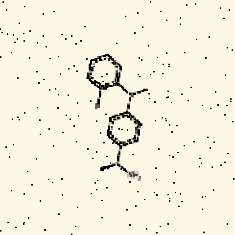 C[C@H](N)c1ccc(N(C)c2ccccc2F)nc1